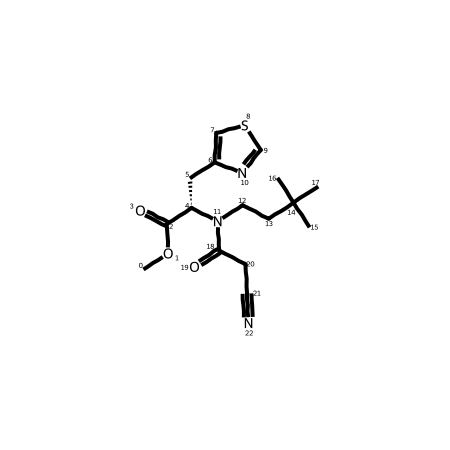 COC(=O)[C@H](Cc1cscn1)N(CCC(C)(C)C)C(=O)CC#N